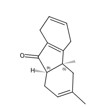 CC1=CC[C@H]2C(=O)C3=C(CC=CC3)[C@@]2(C)C1